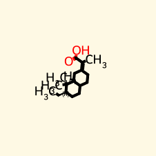 CC[C@@H]1CCC2CCC(=C(C)C(=O)O)C[C@@H]2C1(C)C